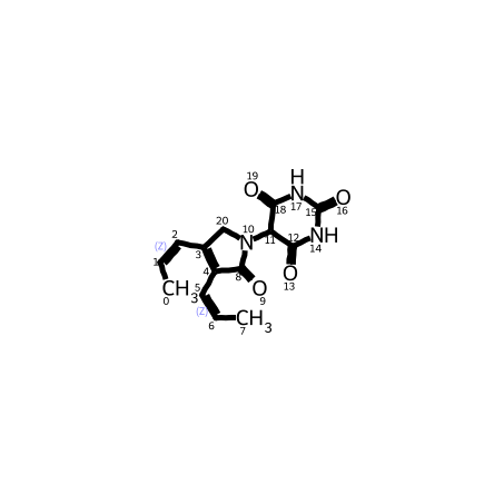 C/C=C\C1=C(/C=C\C)C(=O)N(C2C(=O)NC(=O)NC2=O)C1